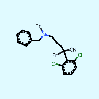 CCN(CCCC(C#N)(c1c(Cl)cccc1Cl)C(C)C)Cc1ccccc1